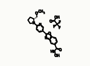 COC[C@H]1CCCN1c1ccc(-c2nc3cc(C(=O)NO)ccc3o2)cn1.O=C(O)C(F)(F)F